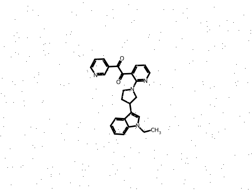 CCn1cc(C2CCN(c3ncccc3C(=O)C(=O)c3cccnc3)C2)c2ccccc21